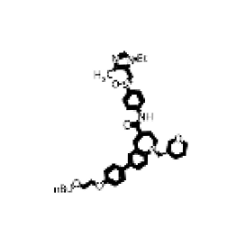 CCCCOCCOc1ccc(-c2ccc3c(c2)C=C(C(=O)Nc2ccc([S@+]([O-])Cc4c(C)ncn4CC)cc2)CCN3C[C@@H]2CCCOC2)cc1